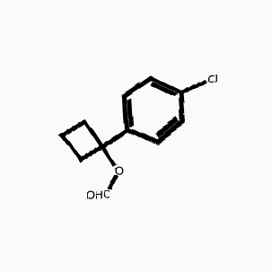 O=COC1(c2ccc(Cl)cc2)CCC1